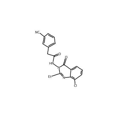 CCc1nc2c(Cl)cccc2c(=O)n1NC(=O)Cc1cccc(C#N)c1